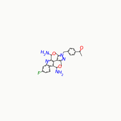 CC(=O)c1ccc(Cn2nc(C)c(-c3c(C(N)=O)nc4cc(F)ccc4c3C(N)=O)c2C)cc1